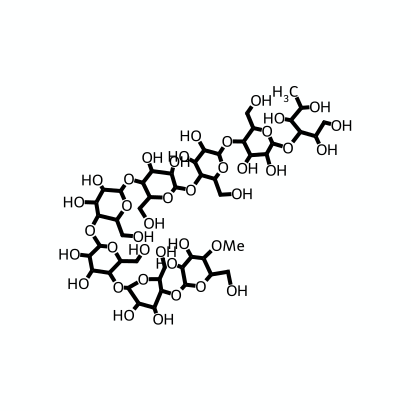 COC1C(CO)OC(OC2C(CO)OC(OC3C(CO)OC(OC4C(CO)OC(OC5C(CO)OC(OC6C(CO)OC(OC7C(CO)OC(OC(C(O)CO)C(O)C(C)O)C(O)C7O)C(O)C6O)C(O)C5O)C(O)C4O)C(O)C3O)C(O)C2O)C(O)C1O